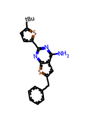 CC(C)(C)c1ccc(-c2nc(N)c3cc(Cc4ccccc4)sc3n2)s1